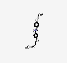 CCCCCCCCCCCCOc1ccc(/N=N/c2ccc(OCCO)cc2)cc1